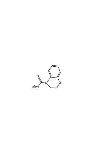 CNC(=O)N1CCOc2ccccc21